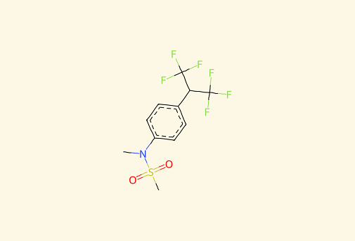 CN(c1ccc(C(C(F)(F)F)C(F)(F)F)cc1)S(C)(=O)=O